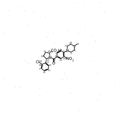 CC1CCN(c2ccc(C(=O)N3[C@@H](c4ccccc4Cl)CC[C@H]3C(=O)O)cc2[N+](=O)[O-])CC1